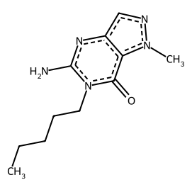 CCCCCn1c(N)nc2cnn(C)c2c1=O